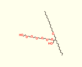 CCCCCCCCCCCCCCOCCCC(CCCCCCCCCC)C(CO)OCCOCCOCCOCCOCCOCCO